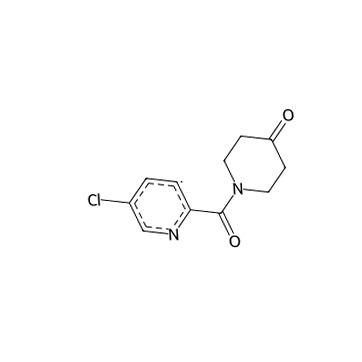 O=C1CCN(C(=O)c2[c]cc(Cl)cn2)CC1